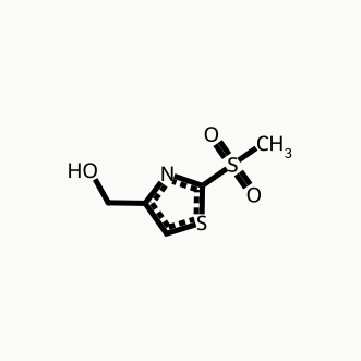 CS(=O)(=O)c1nc(CO)cs1